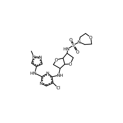 Cn1cc(Nc2ncc(Cl)c(NC3COC4C(NS(=O)(=O)N5CCOCC5)COC34)n2)cn1